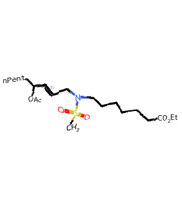 CCCCCC(/C=C/CN(CCCCCCC(=O)OCC)S(C)(=O)=O)OC(C)=O